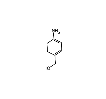 NC1=CC=C(CO)CC1